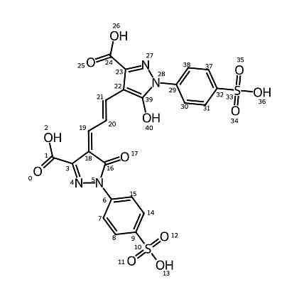 O=C(O)C1=NN(c2ccc(S(=O)(=O)O)cc2)C(=O)C1=CC=Cc1c(C(=O)O)nn(-c2ccc(S(=O)(=O)O)cc2)c1O